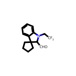 O=CC1N(CC(F)(F)F)c2ccccc2C12CCCC2